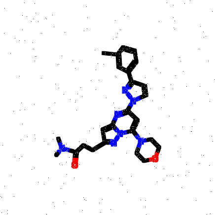 Cc1cccc(-c2ccn(-c3cc(N4CCOCC4)n4nc(CCC(=O)N(C)C)cc4n3)n2)c1